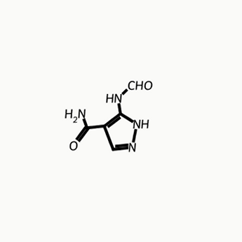 NC(=O)c1cn[nH]c1NC=O